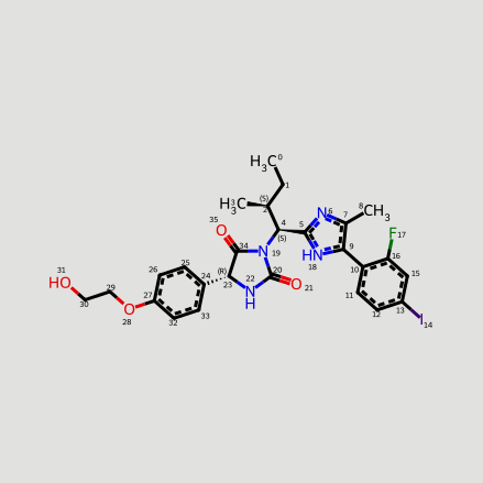 CC[C@H](C)[C@@H](c1nc(C)c(-c2ccc(I)cc2F)[nH]1)N1C(=O)N[C@H](c2ccc(OCCO)cc2)C1=O